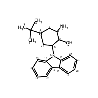 CC(C)(C)N1CC(N)C(O)C(n2c3ccccc3c3ccccc32)C1